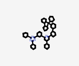 c1ccc(-c2cc(-c3cccc(-c4cccc(C5(c6ccccc6)c6ccccc6-c6ccccc65)c4)c3)nc(-c3cccc(-c4nc(-c5ccccc5)nc(-c5ccccc5)n4)c3)c2)cc1